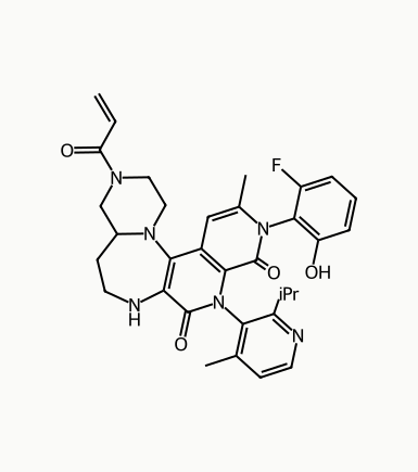 C=CC(=O)N1CCN2c3c(c(=O)n(-c4c(C)ccnc4C(C)C)c4c(=O)n(-c5c(O)cccc5F)c(C)cc34)NCCC2C1